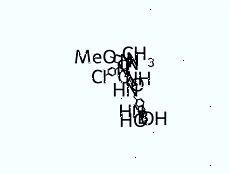 COc1ccc2c(c1)C(c1ccc(Cl)cc1)=N[C@@H](CC(=O)NCC(=O)NCCc1ccc3cc(B(O)O)[nH]c3c1)c1nnc(C)n1-2